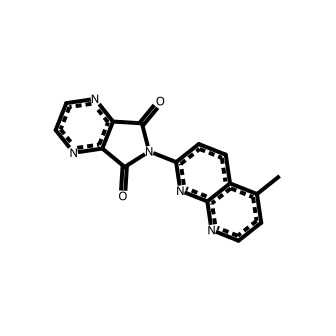 Cc1ccnc2nc(N3C(=O)c4nccnc4C3=O)ccc12